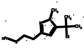 CCCSCCc1cc(C(C)(C)CC)n(C)n1